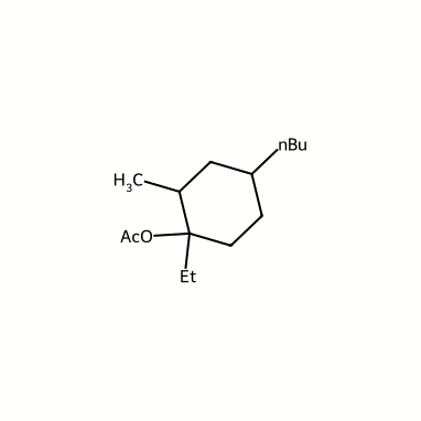 CCCCC1CCC(CC)(OC(C)=O)C(C)C1